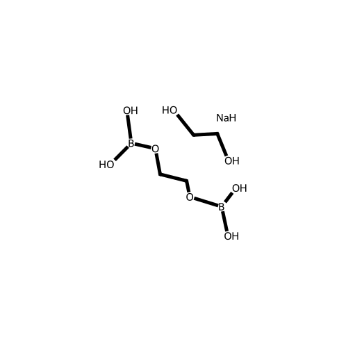 OB(O)OCCOB(O)O.OCCO.[NaH]